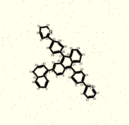 C1=CC2=C(c3ccc4c(-c5ccc(-c6ccccn6)cc5)c5ccccc5c(-c5ccc(C6=NCCC=C6)cc5)c4c3)C=CCC2C=C1